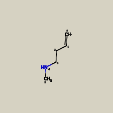 [CH]=CCCNC